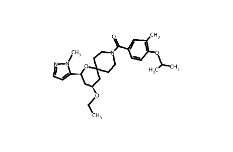 CCO[C@H]1C[C@@H](c2ccnn2C)OC2(CCN(C(=O)c3ccc(OC(C)C)c(C)c3)CC2)C1